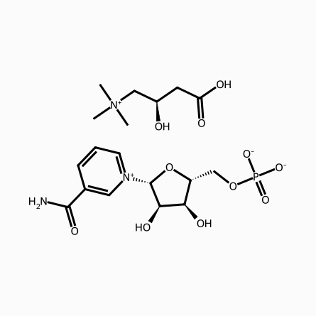 C[N+](C)(C)C[C@H](O)CC(=O)O.NC(=O)c1ccc[n+]([C@@H]2O[C@H](COP(=O)([O-])[O-])[C@@H](O)[C@H]2O)c1